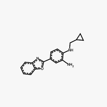 Nc1cc(-c2nc3ccccc3o2)ccc1NCC1CC1